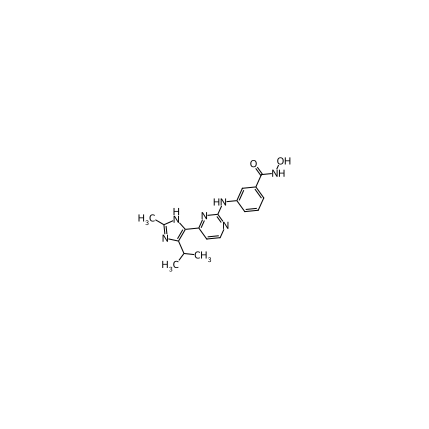 Cc1nc(C(C)C)c(-c2ccnc(Nc3cccc(C(=O)NO)c3)n2)[nH]1